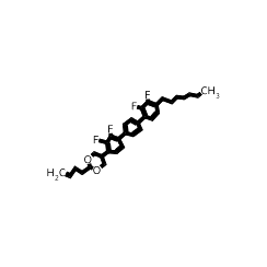 C=CCCC1OCC(c2ccc(-c3ccc(-c4ccc(CCCCCCC)c(F)c4F)cc3)c(F)c2F)CO1